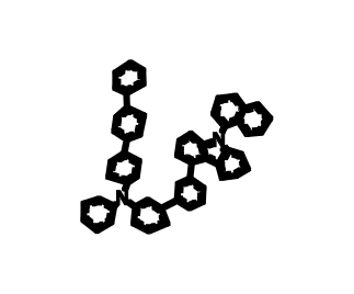 c1ccc(-c2ccc(-c3ccc(N(c4ccccc4)c4cccc(-c5cccc(-c6cccc7c6c6ccccc6n7-c6cccc7ccccc67)c5)c4)cc3)cc2)cc1